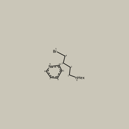 CCCCCCCCCCBr.c1ccncc1